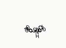 CCS(=O)(=O)c1ccc(CC(=O)Nc2ccc3c(n2)CCC(C)(C)C3=O)cc1